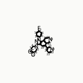 O=S1(=O)CCN(c2nn(-c3ccc(F)cc3)c3c2cc(-c2cccnc2)c2cnccc23)CC1